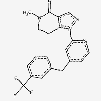 CN1CCc2c(cnn2-c2cc(Cc3cccc(C(F)(F)F)c3)ccn2)C1=O